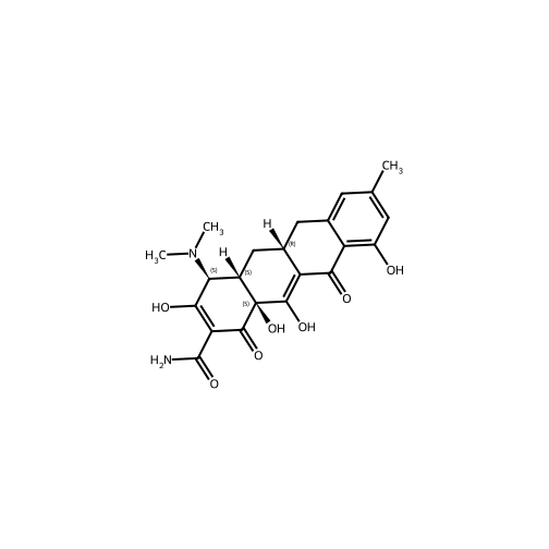 Cc1cc(O)c2c(c1)C[C@H]1C[C@H]3[C@H](N(C)C)C(O)=C(C(N)=O)C(=O)[C@@]3(O)C(O)=C1C2=O